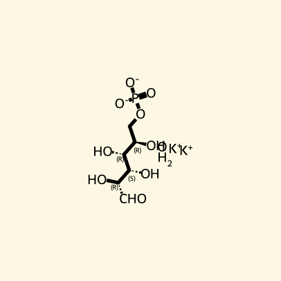 O.O=C[C@H](O)[C@@H](O)[C@H](O)[C@H](O)COP(=O)([O-])[O-].[K+].[K+]